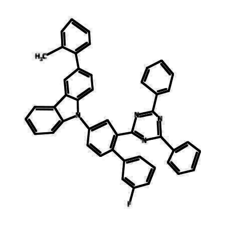 Cc1ccccc1-c1ccc2c(c1)c1ccccc1n2-c1ccc(-c2cccc(F)c2)c(-c2nc(-c3ccccc3)nc(-c3ccccc3)n2)c1